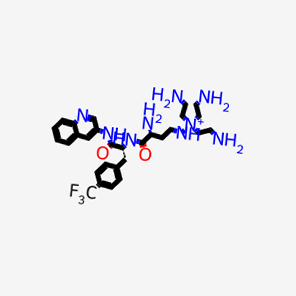 NCC[N+](CCN)(CCN)NCC[C@H](N)C(=O)N[C@H](Cc1ccc(C(F)(F)F)cc1)C(=O)Nc1cnc2ccccc2c1